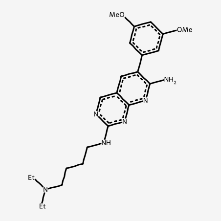 CCN(CC)CCCCNc1ncc2cc(-c3cc(OC)cc(OC)c3)c(N)nc2n1